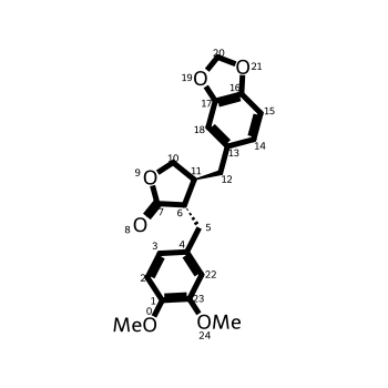 COc1ccc(C[C@@H]2C(=O)OC[C@H]2Cc2ccc3c(c2)OCO3)cc1OC